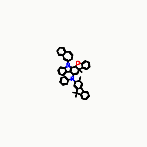 CC1C=C2C(=CC1N(C1=CC3(C)c4ccccc4OC3c3c1c1ccccc1n3C1=CC3=CCCC=C3C=CC1)c1ccccc1)C(C)(C)c1ccccc12